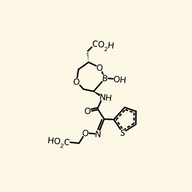 O=C(O)CO/N=C(\C(=O)N[C@H]1COC[C@H](CC(=O)O)OB1O)c1cccs1